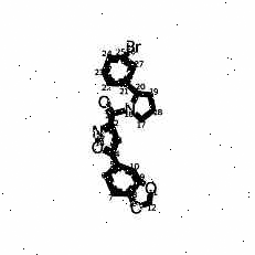 O=C(c1cc(-c2ccc3c(c2)OCO3)on1)N1CCCC1c1cccc(Br)c1